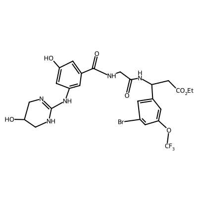 CCOC(=O)CC(NC(=O)CNC(=O)c1cc(O)cc(NC2=NCC(O)CN2)c1)c1cc(Br)cc(OC(F)(F)F)c1